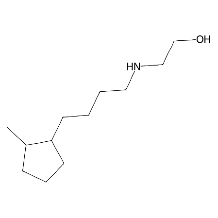 CC1CCCC1CCCCNCCO